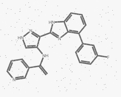 C=C(Nc1c[nH]nc1-c1nc2c(-c3cccc(F)c3)cccc2[nH]1)c1cccnc1